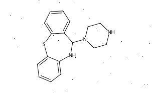 c1ccc2c(c1)NC(N1CCNCC1)c1ccccc1S2